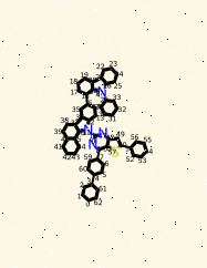 c1ccc(-c2ccc(-c3nc(-n4c5ccc(-c6cccc7c8ccccc8n(-c8ccccc8)c67)cc5c5ccc6ccccc6c54)nc4cc(-c5ccccc5)sc34)cc2)cc1